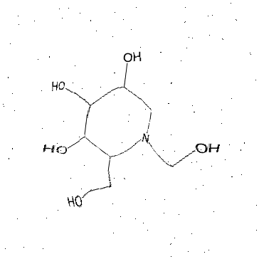 OCC1C(O)C(O)C(O)CN1CO